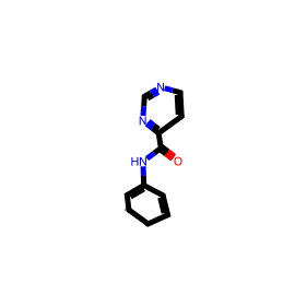 O=C(NC1=C[CH]CC=C1)c1ccncn1